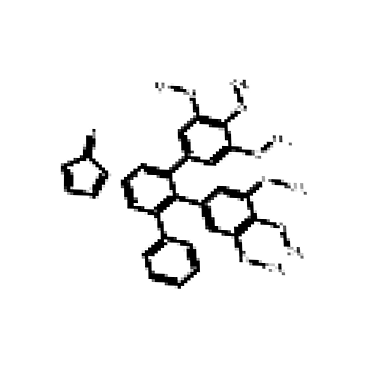 COc1cc(-c2cccc(-c3ccccc3)c2-c2cc(OC)c(OC)c(OC)c2)cc(OC)c1OC.O=C1C=CC=C1